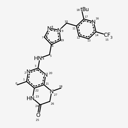 Cc1nc(NCc2cnn(Cc3ccc(C(F)(F)F)nc3C(C)(C)C)c2)nc2c1NC(=O)CN2C